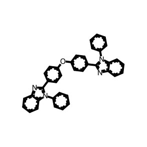 c1ccc(-n2c(-c3ccc(Oc4ccc(-c5nc6ccccc6n5-c5ccccc5)cc4)cc3)nc3ccccc32)cc1